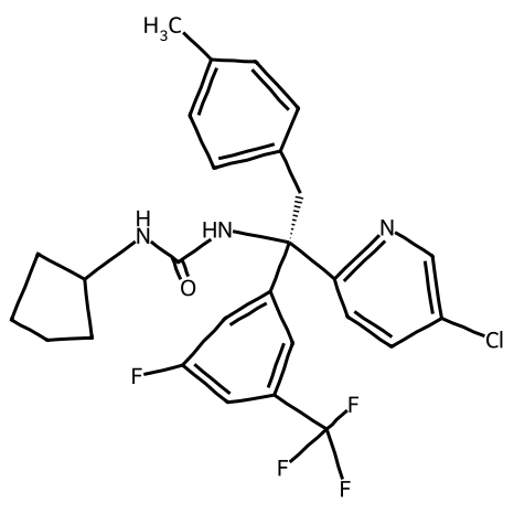 Cc1ccc(C[C@@](NC(=O)NC2CCCC2)(c2cc(F)cc(C(F)(F)F)c2)c2ccc(Cl)cn2)cc1